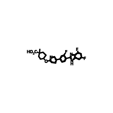 C[C@]1(C(=O)O)CC[C@@H](Oc2ccc(-c3ccc(-c4nc5c(F)cc(F)cc5[nH]4)c(F)c3)cn2)CC1